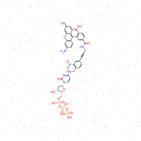 COP(=O)(OP(=O)(O)O)OP(=O)(O)OC[C@H]1O[C@@H](n2ccc(NCc3ccc(C#CCNC(=O)c4ccc(C(=O)O)c(-c5c6ccc(=N)cc-6oc6cc(N)ccc56)c4)cc3[N+](=O)[O-])nc2=O)C[C@H]1O